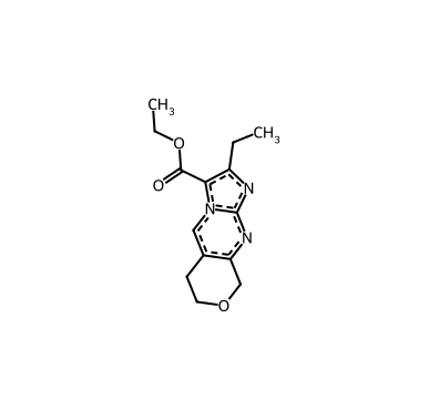 CCOC(=O)c1c(CC)nc2nc3c(cn12)CCOC3